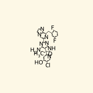 C[C@]1(c2cc(O)c(Cl)cn2)C(=O)Nc2nc(-c3cn4ccnc4c(Cc4cc(F)ccc4F)n3)nc(N)c21